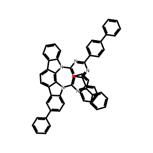 c1ccc(-c2ccc(-c3nc(-c4ccccc4)nc(-n4c5ccccc5c5ccc6c7cc(-c8ccccc8)ccc7n(-c7cccc(-c8ccccc8)n7)c6c54)n3)cc2)cc1